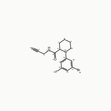 N#CCNC(=O)C1CCCCN1c1cc(F)cc(Br)c1